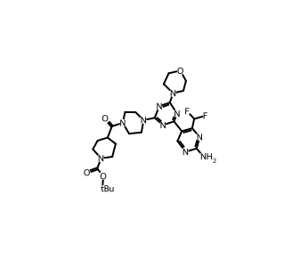 CC(C)(C)OC(=O)N1CCC(C(=O)N2CCN(c3nc(-c4cnc(N)nc4C(F)F)nc(N4CCOCC4)n3)CC2)CC1